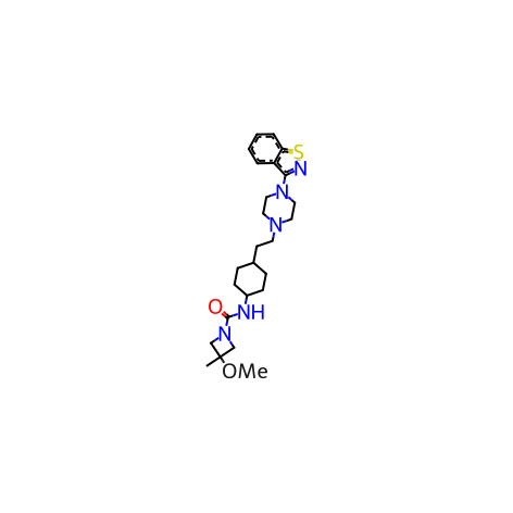 COC1(C)CN(C(=O)NC2CCC(CCN3CCN(c4nsc5ccccc45)CC3)CC2)C1